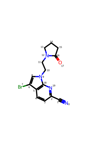 N#Cc1ccc2c(Br)cn(CCN3CCCC3=O)c2n1